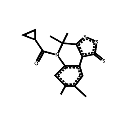 Cc1cc2c(cc1C)N(C(=O)C1CC1)C(C)(C)c1ssc(=S)c1-2